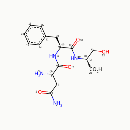 NC(=O)C[C@H](N)C(=O)N[C@@H](Cc1ccccc1)C(=O)N[C@@H](CO)C(=O)O